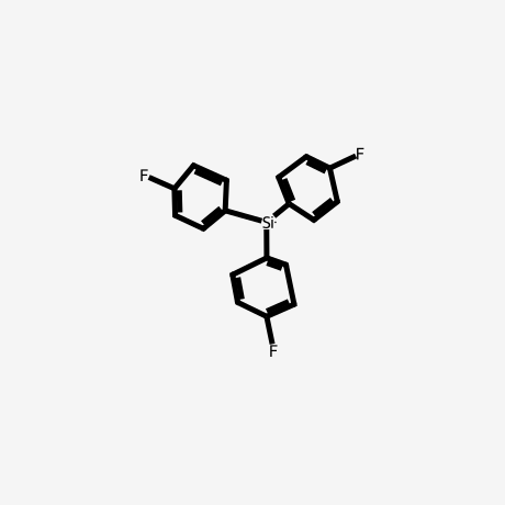 Fc1ccc([Si](c2ccc(F)cc2)c2ccc(F)cc2)cc1